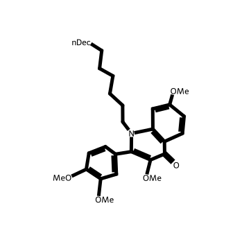 CCCCCCCCCCCCCCCCn1c(-c2ccc(OC)c(OC)c2)c(OC)c(=O)c2ccc(OC)cc21